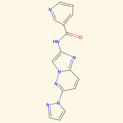 O=C(Nc1cn2nc(-n3cccn3)ccc2n1)c1cccnc1